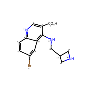 O=C(O)c1cnc2ccc(Br)cc2c1NCC1CNC1